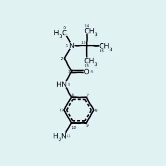 CN(CC(=O)Nc1cccc(N)c1)C(C)(C)C